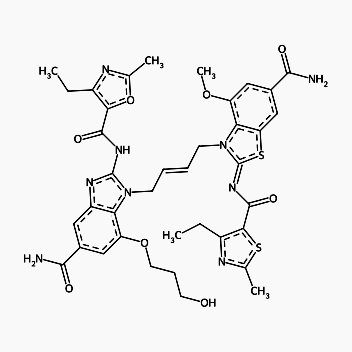 CCc1nc(C)oc1C(=O)Nc1nc2cc(C(N)=O)cc(OCCCO)c2n1C/C=C/Cn1/c(=N/C(=O)c2sc(C)nc2CC)sc2cc(C(N)=O)cc(OC)c21